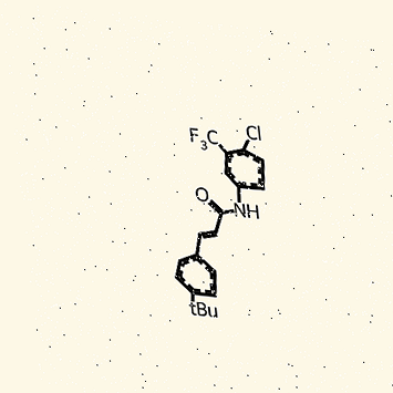 CC(C)(C)c1ccc(/C=C/C(=O)Nc2ccc(Cl)c(C(F)(F)F)c2)cc1